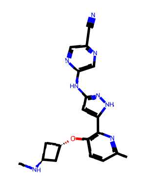 CN[C@H]1C[C@H](Oc2ccc(C)nc2-c2cc(Nc3cnc(C#N)cn3)n[nH]2)C1